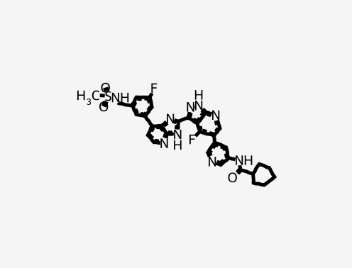 CS(=O)(=O)NCc1cc(F)cc(-c2ccnc3[nH]c(-c4n[nH]c5ncc(-c6cncc(NC(=O)C7CCCCC7)c6)c(F)c45)nc23)c1